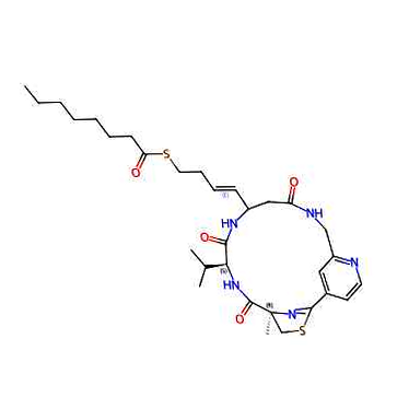 CCCCCCCC(=O)SCC/C=C/C1CC(=O)NCc2cc(ccn2)C2=N[C@@](C)(CS2)C(=O)N[C@@H](C(C)C)C(=O)N1